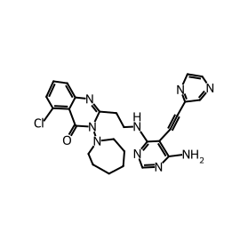 Nc1ncnc(NCCc2nc3cccc(Cl)c3c(=O)n2N2CCCCCC2)c1C#Cc1cnccn1